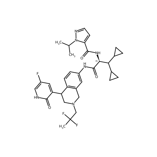 CC(C)n1nccc1C(=O)N[C@H](C(=O)Nc1ccc2c(c1)CN(CC(C)(F)F)CC2c1cc(F)c[nH]c1=O)C(C1CC1)C1CC1